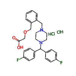 Cl.Cl.O=C(O)COCc1ccccc1CN1CCN(C(c2ccc(F)cc2)c2ccc(F)cc2)CC1